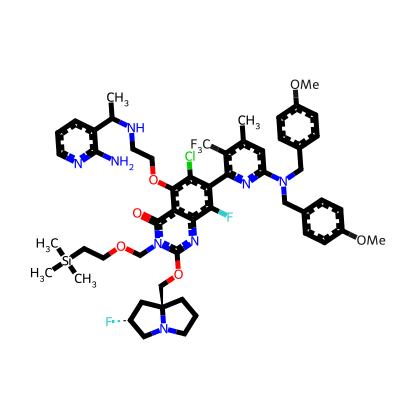 COc1ccc(CN(Cc2ccc(OC)cc2)c2cc(C)c(C(F)(F)F)c(-c3c(Cl)c(OCCNC(C)c4cccnc4N)c4c(=O)n(COCC[Si](C)(C)C)c(OC[C@@]56CCCN5C[C@H](F)C6)nc4c3F)n2)cc1